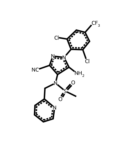 CS(=O)(=O)N(Cc1ccccn1)c1c(C#N)nn(-c2c(Cl)cc(C(F)(F)F)cc2Cl)c1N